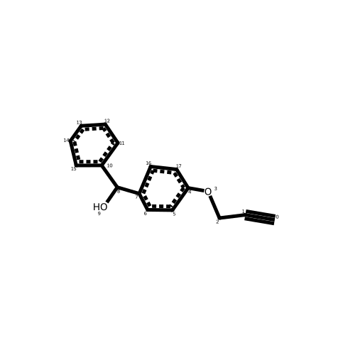 C#CCOc1ccc(C(O)c2ccccc2)cc1